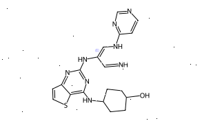 N=C/C(=C\Nc1ccncn1)Nc1nc(NC2CCC(O)CC2)c2sccc2n1